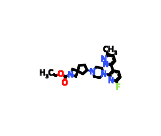 CCOC(=O)N1CC2(CC[C@@H](N3CCN(c4nc(F)ccc4-c4ccc(C)nn4)CC3)C2)C1